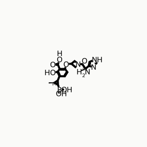 C[C@@H]1C(B(O)O)C1c1ccc(OC2CN(C(=O)[C@@](C)(N)c3c[nH]cn3)C2)c(C(=O)O)c1O